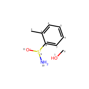 CO.Cc1ccccc1[S+](N)[O-]